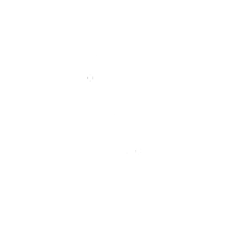 Cc1ccccc1C(=O)c1ccc2c(c1)C1(c3ccccc3-2)c2cc(C(=O)c3ccccc3C)ccc2C2C=CC=CC21